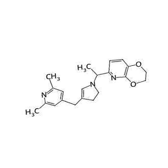 Cc1cc(CC2=CN(C(C)c3ccc4c(n3)OCCO4)CC2)cc(C)n1